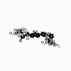 COC(=O)N[C@H](C(=O)N1C[C@@H](C#N)C[C@H]1c1ncc(-c2ccc3c(c2)C(F)(F)c2cc(-c4ccc5nc([C@@H]6[C@H]7CC[C@H](C7)N6C(=O)[C@@H](NC(=O)OC)C(C)C)[nH]c5c4)ccc2-3)[nH]1)C(C)C